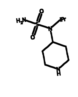 CC(C)N(C1CCNCC1)S(N)(=O)=O